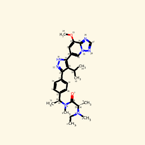 CCN(C)[C@@H](C)C(=O)N(C)[C@@H](C)c1ccc(-c2n[nH]c(-c3cc(OC)c4ncnn4c3)c2C(C)C)cc1